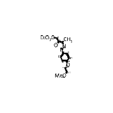 CCOC(=O)CC(=O)C(C)N=Nc1ccc(OCCOC)cc1